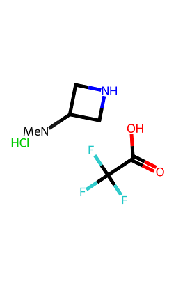 CNC1CNC1.Cl.O=C(O)C(F)(F)F